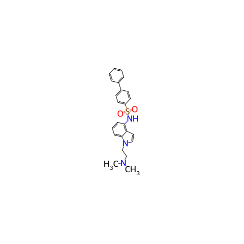 CN(C)CCn1ccc2c(NS(=O)(=O)c3ccc(-c4ccccc4)cc3)cccc21